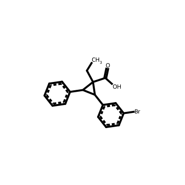 CCC1(C(=O)O)C(c2ccccc2)C1c1cccc(Br)c1